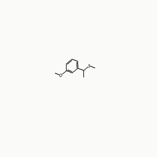 COc1cccc(C(C)SC)c1